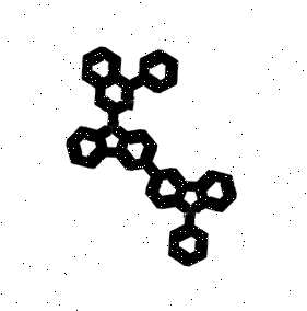 c1ccc(-c2nc(-n3c4ccccc4c4cc(-c5ccc6c(c5)c5ccccc5n6-c5ccccc5)ccc43)cc3ccccc23)cc1